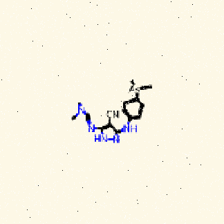 CN(C)C=Nc1[nH]nc(Nc2ccc([As](C)C)cc2)c1C#N